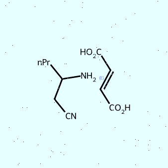 CCCC(N)CC#N.O=C(O)/C=C/C(=O)O